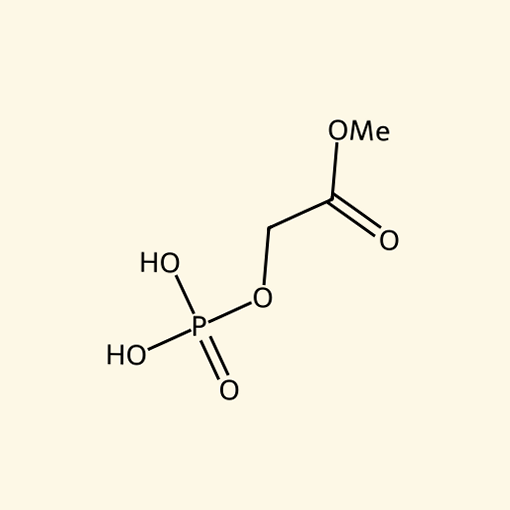 COC(=O)COP(=O)(O)O